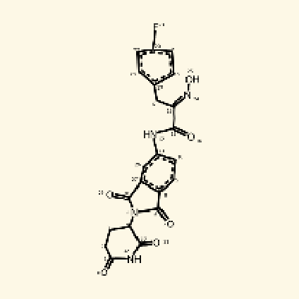 O=C1CCC(N2C(=O)c3ccc(NC(=O)/C(Cc4ccc(F)cc4)=N/O)cc3C2=O)C(=O)N1